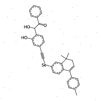 Cc1ccc(C2=CCC(C)(C)c3cc([Se]C#Cc4ccc(C(O)C(=O)c5ccccc5)c(O)c4)ccc32)cc1